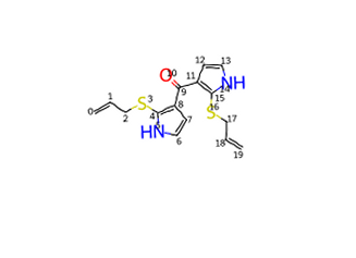 C=CCSc1[nH]ccc1C(=O)c1cc[nH]c1SCC=C